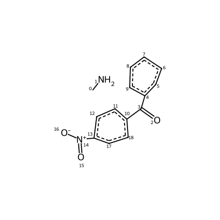 CN.O=C(c1ccccc1)c1ccc([N+](=O)[O-])cc1